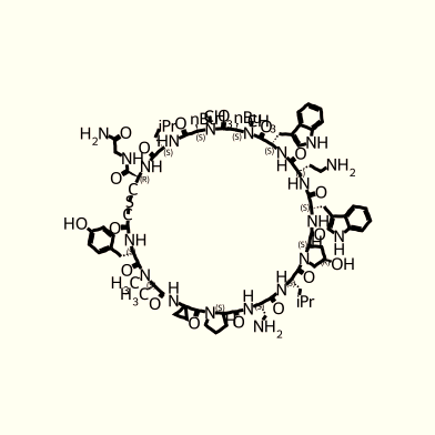 CCCC[C@H]1C(=O)N(C)[C@@H](CCCC)C(=O)N[C@@H](CC(C)C)C(=O)N[C@H](C(=O)NCC(N)=O)CSCC(=O)N[C@@H](Cc2ccc(O)cc2)C(=O)N(C)[C@@H](C)C(=O)NC2(CC2)C(=O)N2CCC[C@H]2C(=O)N[C@@H](CN)C(=O)N[C@@H](CC(C)C)C(=O)N2C[C@H](O)C[C@H]2C(=O)N[C@@H](Cc2c[nH]c3ccccc23)C(=O)N[C@@H](CCN)C(=O)N[C@@H](Cc2c[nH]c3ccccc23)C(=O)N1C